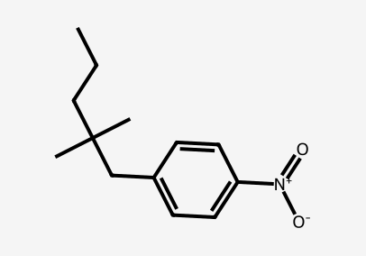 CCCC(C)(C)Cc1ccc([N+](=O)[O-])cc1